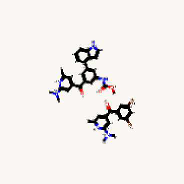 COC(=O)Nc1cc(C(=O)c2cc(C)nc(N(C)C)c2)cc(-c2cccc3[nH]ccc23)c1.Cc1cc(C(=O)c2cc(Br)cc(Br)c2)cc(N(C)C)n1